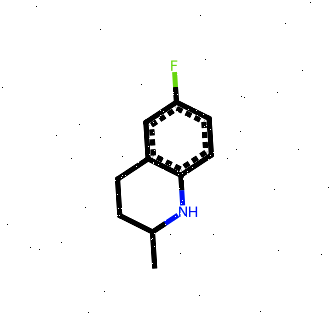 CC1CCc2cc(F)ccc2N1